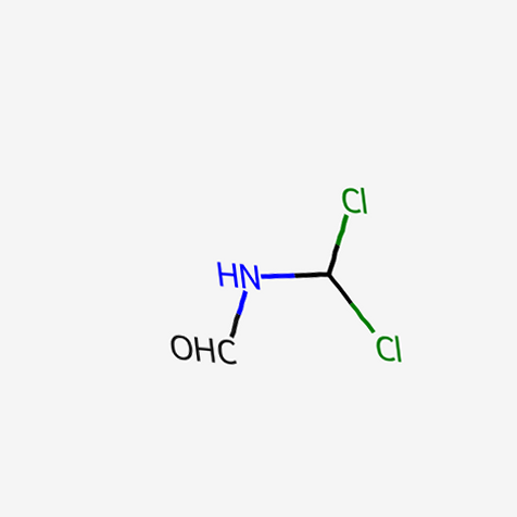 O=CNC(Cl)Cl